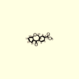 COC(=O)c1ccc2c(c1)COc1ccccc1C2=O